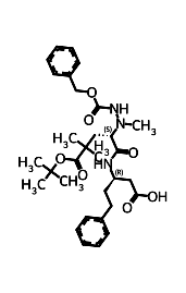 CN(NC(=O)OCc1ccccc1)[C@@H](CC(C)(C)C(=O)OC(C)(C)C)C(=O)N[C@H](CCc1ccccc1)CC(=O)O